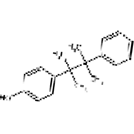 CC(C)(c1ccccc1)C(C)(C)c1ccc(O)cc1